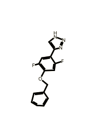 Fc1cc(-c2c[nH]nn2)c(F)cc1OCc1ccccc1